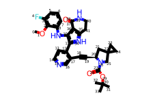 COc1c(F)cccc1Nc1c(-c2ccncc2C#C[C@H]2CC3(CC3)CN2C(=O)OC(C)(C)C)[nH]c2c1C(=O)NCC2